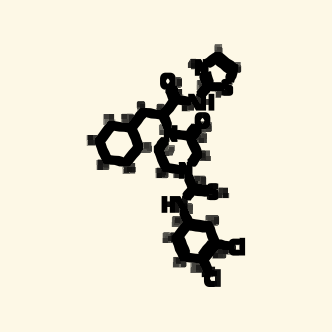 O=C(Nc1nccs1)C(CC1CCCCC1)N1CCN(C(=S)Nc2ccc(Cl)c(Cl)c2)CC1=O